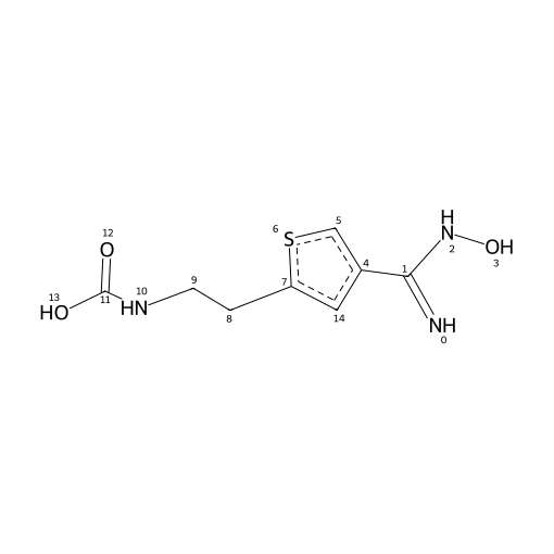 N=C(NO)c1csc(CCNC(=O)O)c1